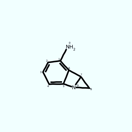 Nc1cccc2c1C1CN21